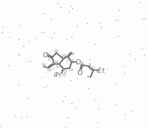 C=C1C(OC(=O)/C=C(\C)CC)CC(C(C)C)C2/C(=C/C)C(=O)CC12